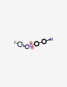 N#Cc1ccc(-c2ccc(S(=O)(=O)N3CC[C@H](N4CCC(F)CC4)C3)cc2)cc1